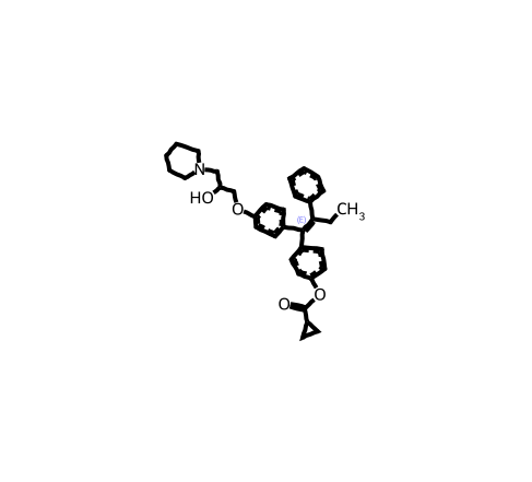 CC/C(=C(/c1ccc(OCC(O)CN2CCCCC2)cc1)c1ccc(OC(=O)C2CC2)cc1)c1ccccc1